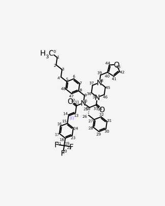 CCCCCc1ccc(CN(C(=O)/C=C/c2ccc(C(F)(F)F)cc2)[C@@H](Cc2ccccc2)C(=O)N2CCN(Cc3ccoc3)CC2)cc1